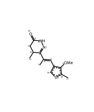 COc1c(C=C(C)C2=NNC(=O)CC2C)csc1C